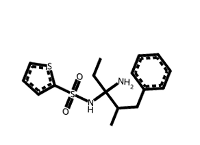 CCC(N)(NS(=O)(=O)c1cccs1)C(C)Cc1ccccc1